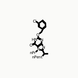 CCCCCC(C)c1nc2nc(OCc3cccc(Cl)c3)[nH]c(=O)c2n1CCC